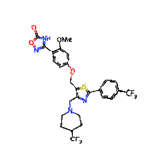 COc1cc(OCc2sc(-c3ccc(C(F)(F)F)cc3)nc2CN2CCC(C(F)(F)F)CC2)ccc1-c1noc(=O)[nH]1